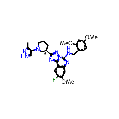 COc1ccc(CNc2nc3cc(OC)c(F)cc3c3nc([C@@H]4CCCN(c5c[nH]nc5C)C4)nn23)c(OC)c1